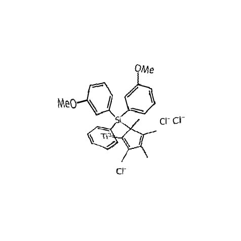 COc1cccc([Si](c2ccccc2)(c2cccc(OC)c2)C2(C)C(C)=C(C)C(C)=[C]2[Ti+3])c1.[Cl-].[Cl-].[Cl-]